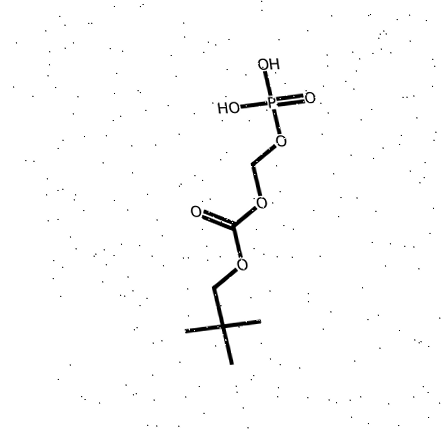 CC(C)(C)COC(=O)OCOP(=O)(O)O